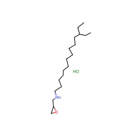 CCC(CC)CCCCCCCCCCCNCC1CO1.Cl